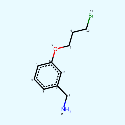 NCc1[c]ccc(OCCCBr)c1